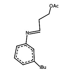 CCC(C)c1cccc(N=CCCOC(C)=O)c1